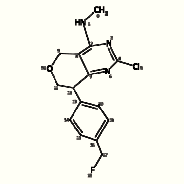 CNc1nc(Cl)nc2c1COCC2c1ccc(CF)cc1